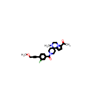 COCC#Cc1ccc(C(=O)N2CCC3(CC2)c2ccc(C(C)=O)n2CCN3C)cc1F